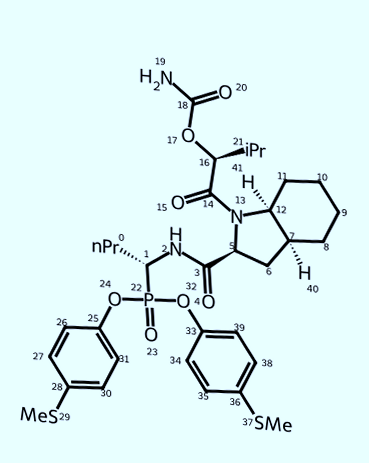 CCC[C@H](NC(=O)[C@@H]1C[C@@H]2CCCC[C@@H]2N1C(=O)[C@@H](OC(N)=O)C(C)C)P(=O)(Oc1ccc(SC)cc1)Oc1ccc(SC)cc1